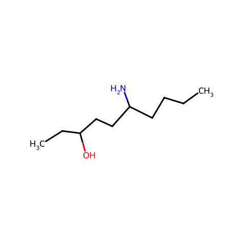 CCCCC(N)CCC(O)CC